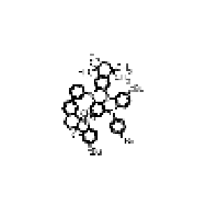 CC(C)(C)c1ccc(N2c3ccc(C(C)(C)C)cc3B3c4cc5c(cc4N(c4ccccc4)c4cc(N6c7ccc(C(C)(C)C)cc7C7(C)CCc8ccccc8C67C)cc2c43)C(C)(C)CCC5(C)C)cc1